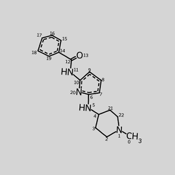 CN1CCC(Nc2cccc(NC(=O)c3ccccc3)n2)CC1